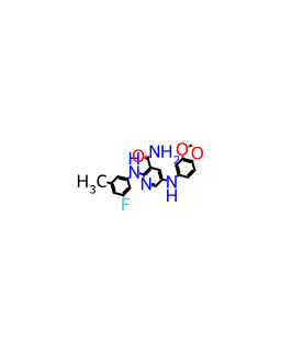 Cc1cc(F)cc(Nc2ncc(Nc3ccc4c(c3)OCO4)cc2C(N)=O)c1